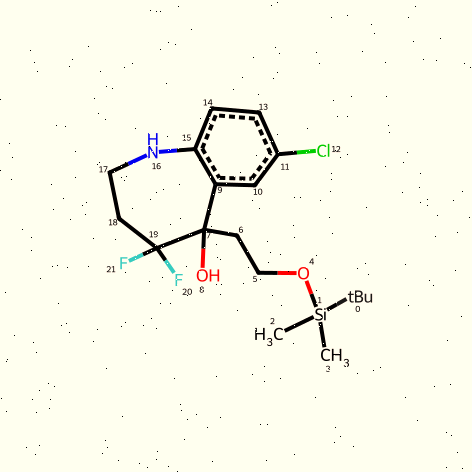 CC(C)(C)[Si](C)(C)OCCC1(O)c2cc(Cl)ccc2NCCC1(F)F